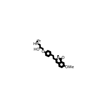 COc1ccc2cc(CCc3ccc(OCC(O)CNC(C)C)cc3)n(C)c(=O)c2c1